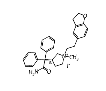 C[N+]1(CCc2ccc3c(c2)CCO3)CC[C@@H](C(C(N)=O)(c2ccccc2)c2ccccc2)C1.[I-]